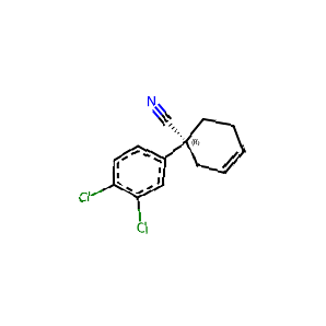 N#C[C@@]1(c2ccc(Cl)c(Cl)c2)CC=CCC1